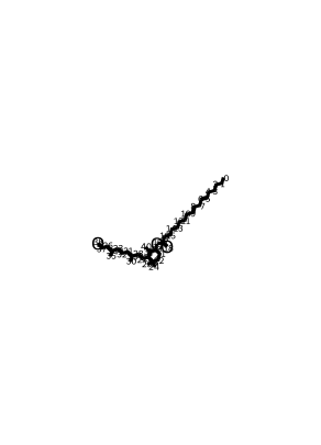 CCCCC/C=C/C/C=C/CCCCCCCC(=O)OC1CCC(C)(C)C(/C=C/C(C)=C/C=C/C(C)=C/C=O)=C1C